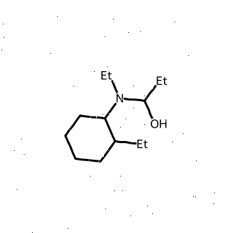 CCC1CCCCC1N(CC)C(O)CC